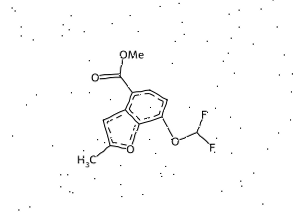 COC(=O)c1ccc(OC(F)F)c2oc(C)cc12